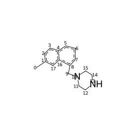 Cc1ccc2cccc(CN3CCNCC3)c2c1